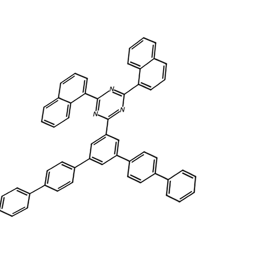 c1ccc(-c2ccc(-c3cc(-c4ccc(-c5ccccc5)cc4)cc(-c4nc(-c5cccc6ccccc56)nc(-c5cccc6ccccc56)n4)c3)cc2)cc1